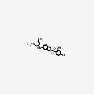 CCCC(CCC)Nc1ccc2c(c1)CN(S(=O)(=O)c1ccc(O)cc1O)C2